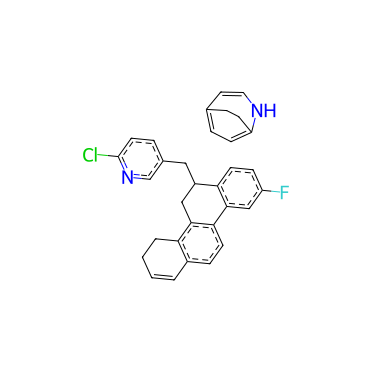 C1=CC2=CC=C(CC2)N1.Fc1ccc2c(c1)-c1ccc3c(c1CC2Cc1ccc(Cl)nc1)CCC=C3